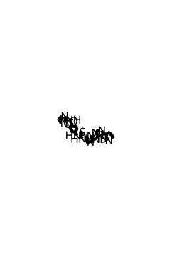 O=S(=O)(Nc1ncccn1)c1ccc(NC(=S)Nc2cnc(NC3=NC=NC4C3SC3N=CC=CC34)nc2)cc1